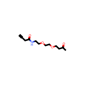 C#CCC(=O)NCCOCCOCCC(C)=O